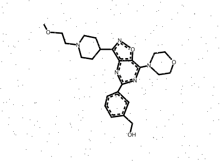 COCCN1CCC(c2noc3c(N4CCOCC4)nc(-c4cccc(CO)c4)nc23)CC1